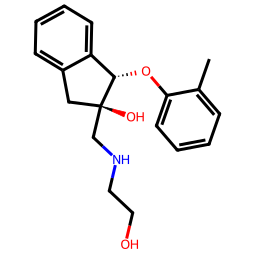 Cc1ccccc1O[C@H]1c2ccccc2C[C@@]1(O)CNCCO